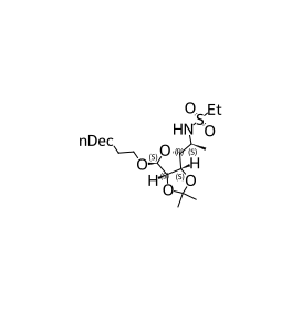 CCCCCCCCCCCCO[C@H]1O[C@H]([C@H](C)NS(=O)(=O)CC)[C@@H]2OC(C)(C)O[C@H]12